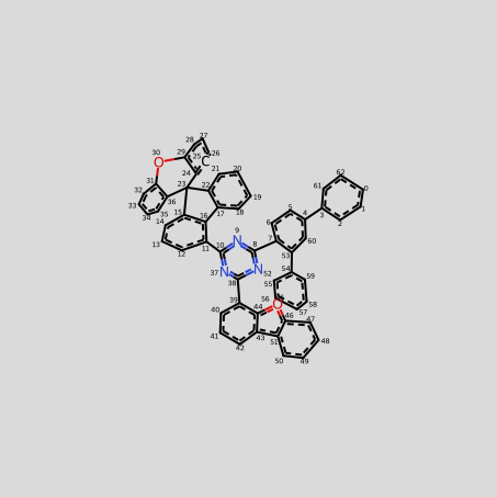 c1ccc(-c2ccc(-c3nc(-c4cccc5c4-c4ccccc4C54c5ccccc5Oc5ccccc54)nc(-c4cccc5c4oc4ccccc45)n3)c(-c3ccccc3)c2)cc1